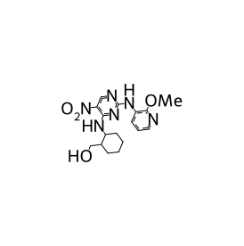 COc1ncccc1Nc1ncc([N+](=O)[O-])c(NC2CCCCC2CO)n1